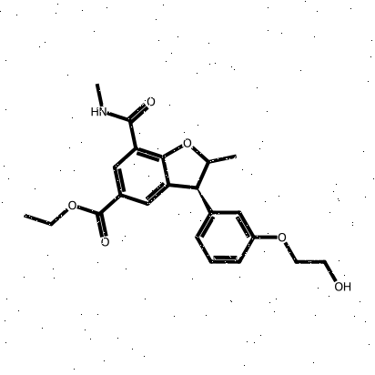 CCOC(=O)c1cc(C(=O)NC)c2c(c1)[C@H](c1cccc(OCCO)c1)C(C)O2